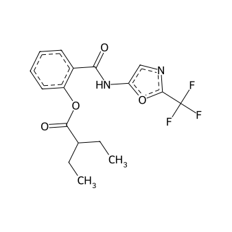 CCC(CC)C(=O)Oc1ccccc1C(=O)Nc1cnc(C(F)(F)F)o1